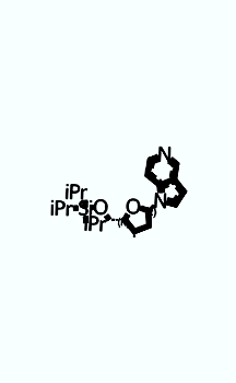 CC(C)[Si](OC[C@H]1[CH]C[C@H](n2ccc3cnccc32)O1)(C(C)C)C(C)C